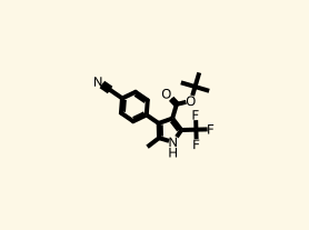 Cc1[nH]c(C(F)(F)F)c(C(=O)OC(C)(C)C)c1-c1ccc(C#N)cc1